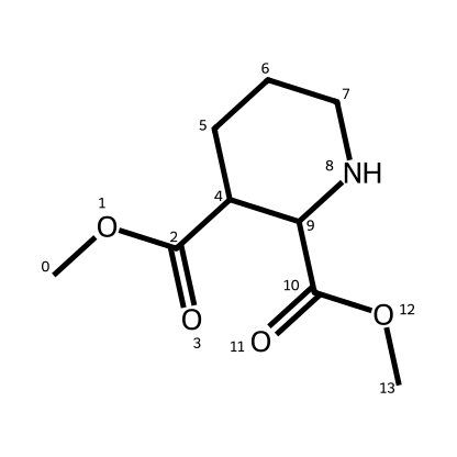 COC(=O)C1CCCNC1C(=O)OC